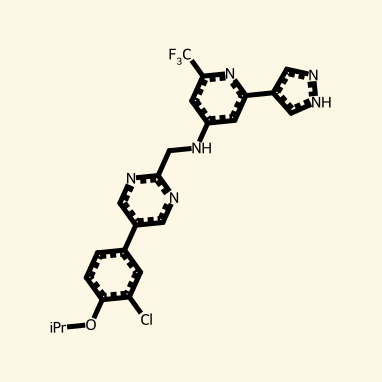 CC(C)Oc1ccc(-c2cnc(CNc3cc(-c4cn[nH]c4)nc(C(F)(F)F)c3)nc2)cc1Cl